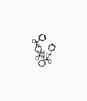 O=C(NC1(C(=O)OCc2ccccc2)CCCCC1)N1CCN(C(=O)c2ccccc2)CC1